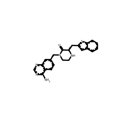 Nc1ncnc2cc(CN3CCNC(Cc4cc5ccccc5s4)C3=O)ccc12